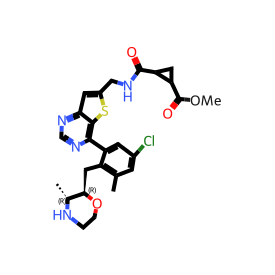 COC(=O)C1CC1C(=O)NCc1cc2ncnc(-c3cc(Cl)cc(C)c3C[C@H]3OCCN[C@@H]3C)c2s1